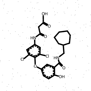 O=C(O)CC(=O)Nc1cc(Cl)c(Oc2ccc(O)c(C(=O)NCC3CCCCCC3)c2)c(Cl)c1